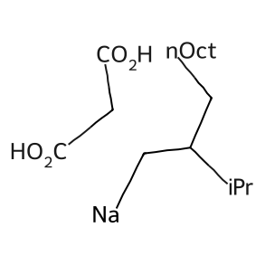 CCCCCCCCCC([CH2][Na])C(C)C.O=C(O)CC(=O)O